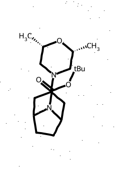 C[C@@H]1CN(C2CC3CCC(C2)N3C(=O)OC(C)(C)C)C[C@H](C)O1